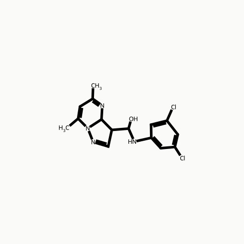 CC1=CC(C)=NC2C(C(O)Nc3cc(Cl)cc(Cl)c3)C=NN12